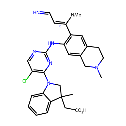 CN/C(=C\C=N)c1cc2c(cc1Nc1ncc(Cl)c(N3CC(C)(CC(=O)O)c4ccccc43)n1)CN(C)CC2